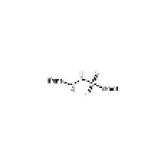 CCCCCS(=O)(=O)NNC(C)CCC